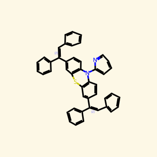 C(=C(\c1ccccc1)c1ccc2c(c1)Sc1cc(/C(=C\c3ccccc3)c3ccccc3)ccc1N2c1ccccn1)/c1ccccc1